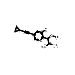 COC(c1ncc(C#CC2CC2)cc1Cl)C(C)N